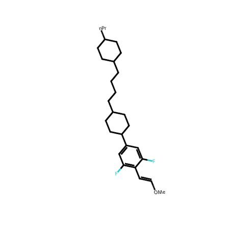 CCCC1CCC(CCCCC2CCC(c3cc(F)c(C=COC)c(F)c3)CC2)CC1